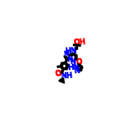 Cc1cc(-c2cnc3c(NCC(C)(C)O)cc(Oc4ccn[nH]4)nn23)ccc1C(=O)NC1CC1